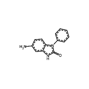 Nc1ccc2c(c1)[nH]c(=O)n2-c1ccccc1